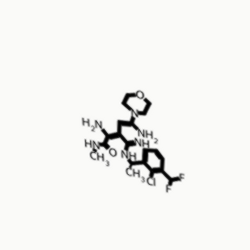 CNC(=O)/C(N)=C(/C=C(\N)N1CCOCC1)C(=N)N[C@H](C)c1cccc(C(F)F)c1Cl